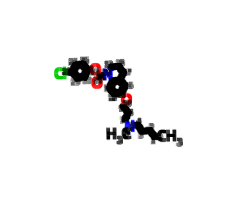 CCCCCN(C)CCCOc1ccc2c(c1)CCCN2C(=O)Oc1ccc(Cl)cc1